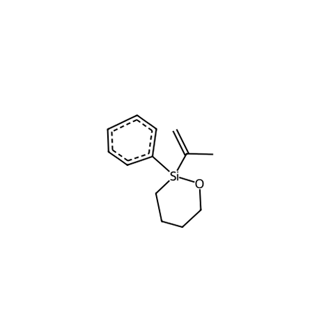 C=C(C)[Si]1(c2ccccc2)CCCCO1